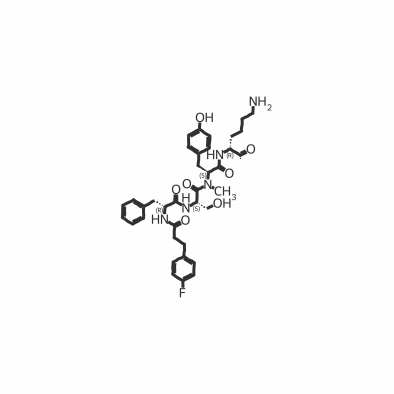 CN(C(=O)[C@H](CO)NC(=O)[C@@H](Cc1ccccc1)NC(=O)CCc1ccc(F)cc1)[C@@H](Cc1ccc(O)cc1)C(=O)N[C@@H]([C]=O)CCCCN